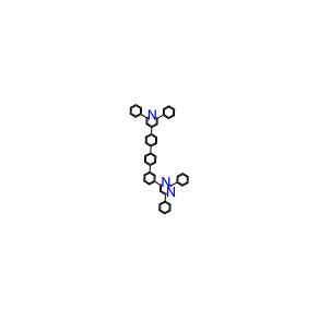 c1ccc(-c2cc(-c3ccc(-c4ccc(-c5cccc(-c6cc(-c7ccccc7)nc(-c7ccccc7)n6)c5)cc4)cc3)cc(-c3ccccc3)n2)cc1